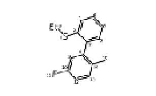 CCSc1ccccc1-c1cc(F)ccc1C